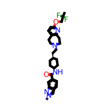 Cn1cc2ccc(C(=O)N[C@H]3CC[C@H](CCN4CCc5ccc(OCC(C)(F)F)nc5CC4)CC3)cc2n1